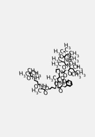 CC[C@H](C)[C@@H]([C@@H](CC(=O)N1CCC[C@H]1[C@H](OC)[C@@H](C)C(=O)N[C@@H](Cc1ccccc1)C(=O)NCCCOC(=O)C(C)NC(=O)CCNC(=O)C(C)(C)C)OC)N(C)C(=O)C(NC(=O)[C@H](C(C)C)N(C)C)C(C)C